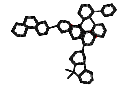 CC1(C)c2ccccc2-c2cc(-c3cccc(N(c4ccc(-c5ccc6c(ccc7ccccc76)c5)cc4)c4cccc(-c5ccccc5)c4-c4ccccc4-c4ccccc4)c3)ccc21